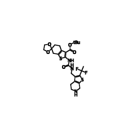 CC(C)(C)OC(=O)c1c(NC(=O)NCc2c(C(C)(F)F)sc3c2CCNC3)sc2c1CCC1(C2)OCCO1